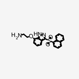 NCCOc1cccc2c(S(=O)(=O)c3cccc4ccccc34)n[nH]c12